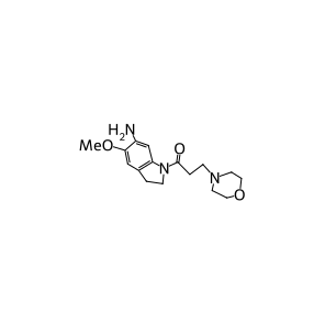 COc1cc2c(cc1N)N(C(=O)CCN1CCOCC1)CC2